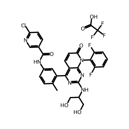 Cc1ccc(NC(=O)c2ccc(Cl)nc2)cc1-c1nc(NC(CO)CO)nc2c1ccc(=O)n2-c1c(F)cccc1F.O=C(O)C(F)(F)F